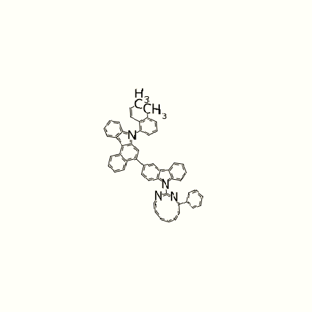 C/C=C\c1c(C)cccc1-n1c2ccccc2c2c3ccccc3c(-c3ccc4c(c3)c3ccccc3n4-c3nccccccc(-c4ccccc4)n3)cc21